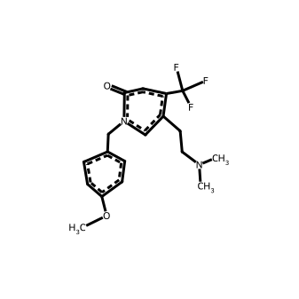 COc1ccc(Cn2cc(CCN(C)C)c(C(F)(F)F)cc2=O)cc1